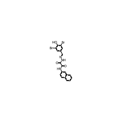 O=C(N/N=C/c1cc(Br)c(O)c(Br)c1)C(=O)Nc1ccc2ccccc2c1